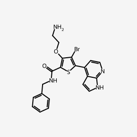 NCCOc1c(C(=O)NCc2ccccc2)sc(-c2ccnc3[nH]ccc23)c1Br